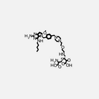 CCCCCNc1nc(N)nc2ccn(Cc3ccc(CN4CCN(CCOCCNC[C@@H](SC[C@H](N)C(=O)O)C(=O)C(=O)O)CC4)cc3OC)c12